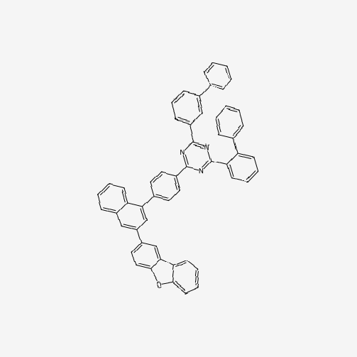 c1ccc(-c2cccc(-c3nc(-c4ccc(-c5cc(-c6ccc7oc8ccccc8c7c6)cc6ccccc56)cc4)nc(-c4ccccc4-c4ccccc4)n3)c2)cc1